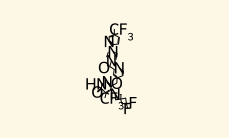 O=C(c1cc(Oc2n[nH]c(=O)c(C(F)(F)F)c2N2CC3(C2)CC(F)(F)C3)ccn1)N1CCN(c2ccc(C(F)(F)F)cn2)CC1